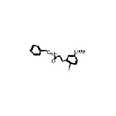 COc1ccc(I)c(CCC(=O)NCCc2ccccc2)c1